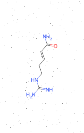 N=C(N)NCCC=CC(N)=O